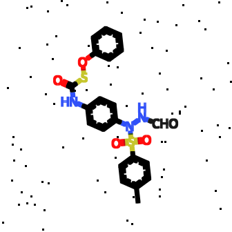 Cc1ccc(S(=O)(=O)N(NC=O)c2ccc(NC(=O)SOc3ccccc3)cc2)cc1